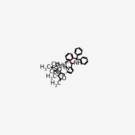 C=C1O[C@@H](c2ccc3c(NC(c4ccccc4)(c4ccccc4)c4ccccc4)ncnn23)[C@H](O[Si](C)(C)C(C)(C)C)[C@@H]1C